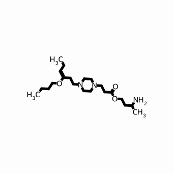 CC/C=C(\CCN1CCN(CCC(=O)OCCC(C)N)CC1)OCCCC